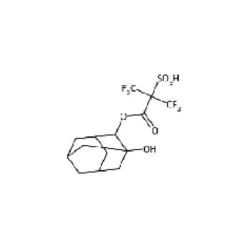 O=C(OC1C2CC3CC(C2)CC1(O)C3)C(C(F)(F)F)(C(F)(F)F)S(=O)(=O)O